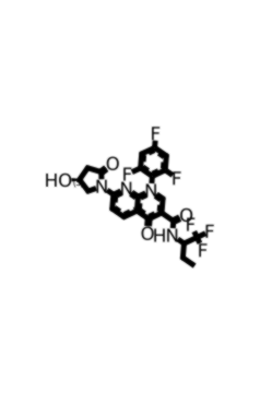 CCC(NC(=O)c1cn(-c2c(F)cc(F)cc2F)c2nc(N3C[C@@H](O)CC3=O)ccc2c1=O)C(F)(F)F